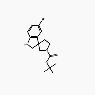 CC(C)(C)OC(=O)N1CCC2(CNc3ccc(Br)cc32)C1